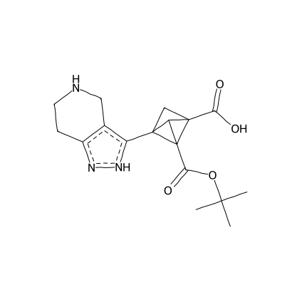 CC(C)(C)OC(=O)C1C2(C(=O)O)CC1(c1[nH]nc3c1CNCC3)C2